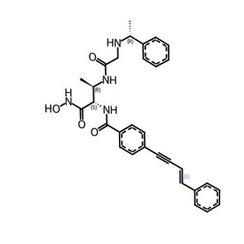 C[C@@H](NCC(=O)N[C@H](C)[C@H](NC(=O)c1ccc(C#C/C=C/c2ccccc2)cc1)C(=O)NO)c1ccccc1